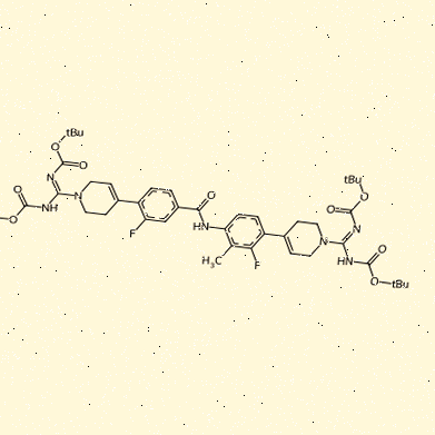 Cc1c(NC(=O)c2ccc(C3=CCN(/C(=N\C(=O)OC(C)(C)C)NC(=O)OC(C)(C)C)CC3)c(F)c2)ccc(C2=CCN(/C(=N\C(=O)OC(C)(C)C)NC(=O)OC(C)(C)C)CC2)c1F